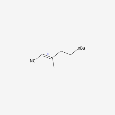 CCCCCC/C(C)=C/C#N